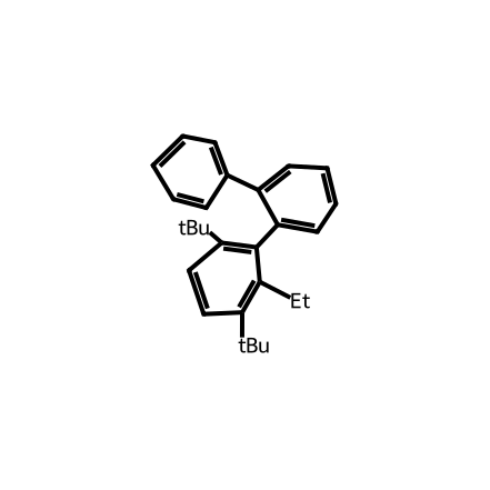 CCc1c(C(C)(C)C)ccc(C(C)(C)C)c1-c1ccccc1-c1ccccc1